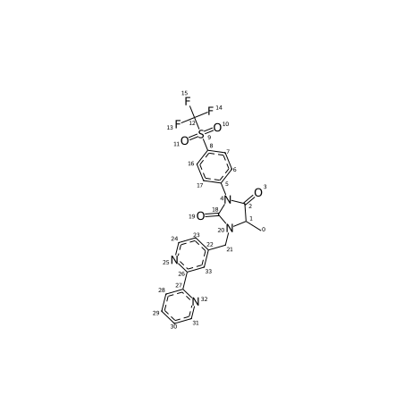 CC1C(=O)N(c2ccc(S(=O)(=O)C(F)(F)F)cc2)C(=O)N1Cc1ccnc(-c2ccccn2)c1